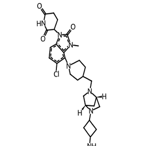 Cn1c(=O)n(C2CCC(=O)NC2=O)c2ccc(Cl)c(N3CCC(CN4C[C@@H]5C[C@H]4CN5C4CC(N)C4)CC3)c21